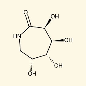 O=C1NC[C@@H](O)[C@@H](O)[C@H](O)[C@@H]1O